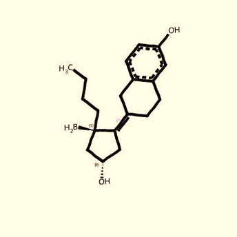 B[C@]1(CCCC)C[C@@H](O)C/C1=C1\CCc2cc(O)ccc2C1